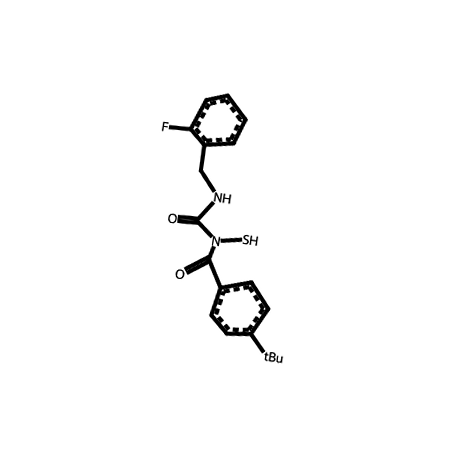 CC(C)(C)c1ccc(C(=O)N(S)C(=O)NCc2ccccc2F)cc1